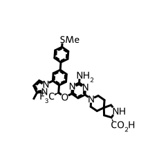 CSc1ccc(-c2ccc([C@@H](Oc3cc(N4CCC5(CC4)CN[C@H](C(=O)O)C5)nc(N)n3)C(F)(F)F)c(-n3ccc(C)n3)c2)cc1